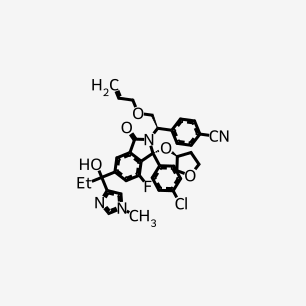 C=CCOC[C@@H](c1ccc(C#N)cc1)N1C(=O)c2cc(C(O)(CC)c3cn(C)cn3)cc(F)c2[C@]1(O[C@H]1CCOC1)c1ccc(Cl)cc1